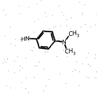 CN(C)c1ccc([NH])cc1